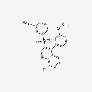 COc1cccc(-c2c(S(=O)(=O)c3cccc(C#N)c3)cnc3c(F)cccc23)c1